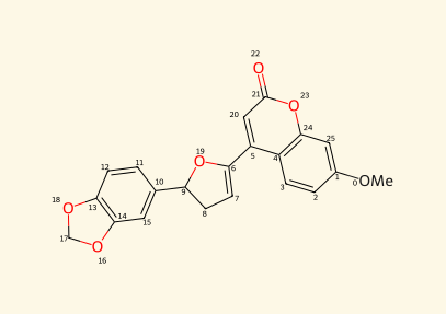 COc1ccc2c(C3=CCC(c4ccc5c(c4)OCO5)O3)cc(=O)oc2c1